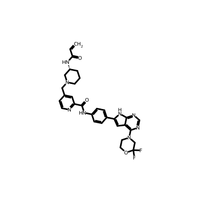 C=CC(=O)N[C@@H]1CCCN(Cc2ccnc(C(=O)Nc3ccc(-c4cc5c(N6CCOC(F)(F)C6)ncnc5[nH]4)cc3)c2)C1